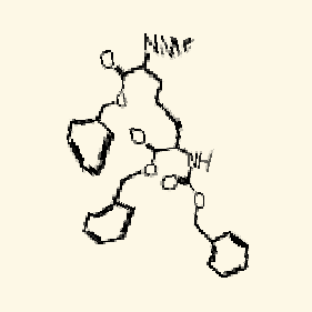 CNC(CCCC(NC(=O)OCc1ccccc1)C(=O)OCc1ccccc1)C(=O)OCc1ccccc1